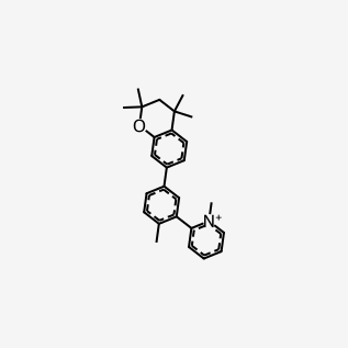 Cc1ccc(-c2ccc3c(c2)OC(C)(C)CC3(C)C)cc1-c1cccc[n+]1C